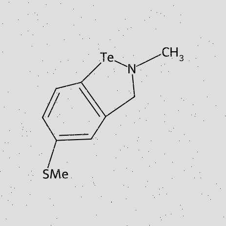 CSc1ccc2c(c1)CN(C)[Te]2